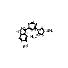 CC(C)Oc1ccc2[nH]nc(-c3cc(N4C[C@H](N)C[C@@H]4C)ncn3)c2c1